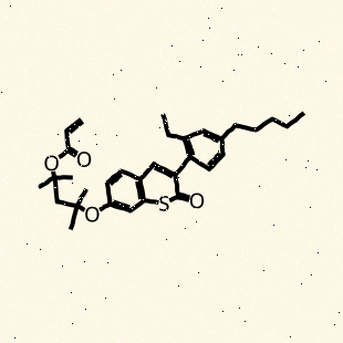 C=CC(=O)OC(C)(C)CC(C)(C)Oc1ccc2cc(-c3ccc(CCCCC)cc3CC)c(=O)sc2c1